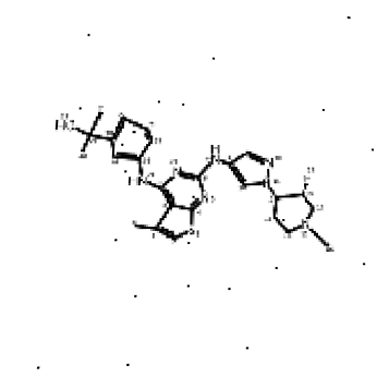 Cc1csc2nc(Nc3cnn([C@@H]4CCN(C)C[C@@H]4F)c3)nc(Nc3cccc(C(C)(C)O)c3)c12